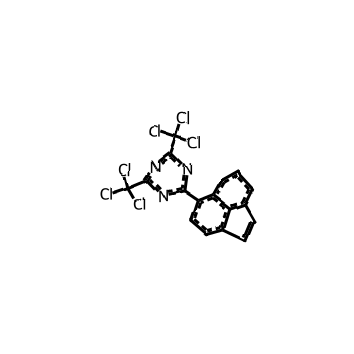 ClC(Cl)(Cl)c1nc(-c2ccc3c4c(cccc24)C=C3)nc(C(Cl)(Cl)Cl)n1